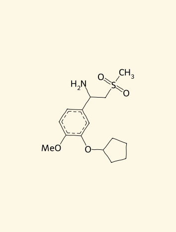 COc1ccc(C(N)CS(C)(=O)=O)cc1OC1CCCC1